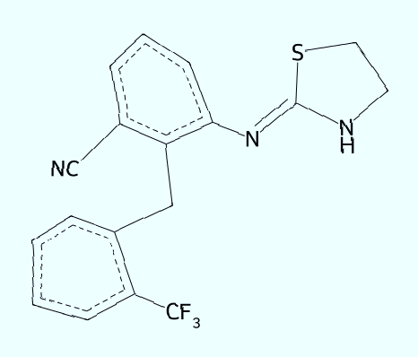 N#Cc1cccc(/N=C2/NCCS2)c1Cc1ccccc1C(F)(F)F